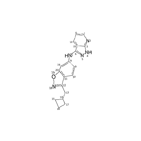 c1cnc2[nH]nc(Nc3ccc4c(CC5CCC5)noc4c3)c2c1